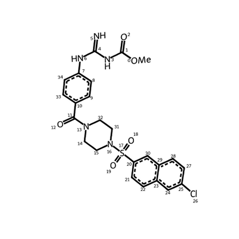 COC(=O)NC(=N)Nc1ccc(C(=O)N2CCN(S(=O)(=O)c3ccc4cc(Cl)ccc4c3)CC2)cc1